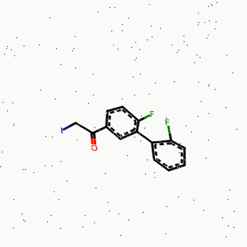 O=C(CI)c1ccc(F)c(-c2ccccc2F)c1